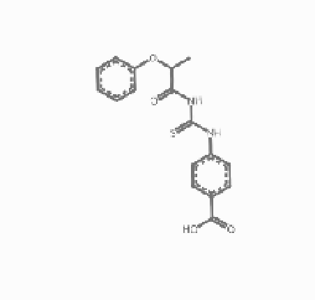 CC(Oc1ccccc1)C(=O)NC(=S)Nc1ccc(C(=O)O)cc1